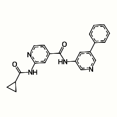 O=C(Nc1cncc(-c2ccccc2)c1)c1ccnc(NC(=O)C2CC2)c1